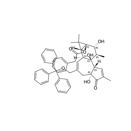 CC1=C[C@H]2[C@@]3(O)[C@H](C)[C@@H](O)[C@]4(OC(=O)Cc5ccccc5)[C@H]([C@@H]3C=C(COC(c3ccccc3)(c3ccccc3)c3ccccc3)C[C@]2(O)C1=O)C4(C)C